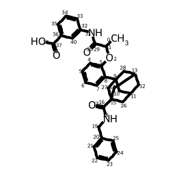 CC(Oc1ccccc1C12CC3CC(CC(C(=O)NCc4ccccc4)(C3)C1)C2)C(=O)Nc1cccc(C(=O)O)c1